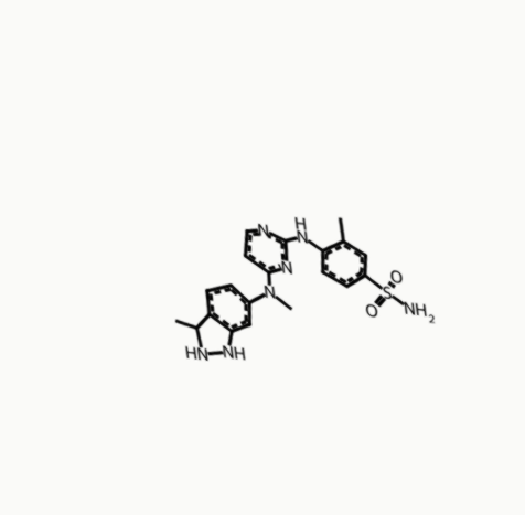 Cc1cc(S(N)(=O)=O)ccc1Nc1nccc(N(C)c2ccc3c(c2)NNC3C)n1